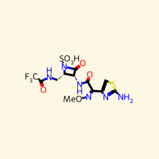 CON=C(C(=O)N[C@H]1C(=O)N(S(=O)(=O)O)[C@H]1CNC(=O)C(F)(F)F)c1csc(N)n1